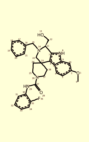 COc1ccc2c3c([nH]c2c1)[C@H](CO)N(Cc1ccccc1)CC31CCN(C(=O)Nc2ccccc2F)CC1